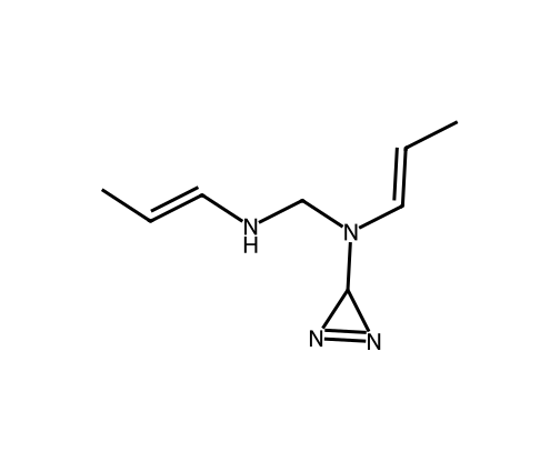 C/C=C/NCN(/C=C/C)C1N=N1